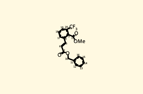 COC(=O)c1c(C=CC(=O)OCc2ccccc2)cccc1C(F)(F)F